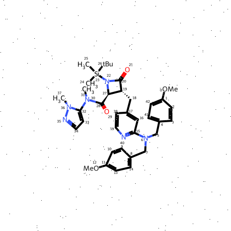 COc1ccc(CN(Cc2ccc(OC)cc2)c2cc(C[C@H]3C(=O)N([Si](C)(C)C(C)(C)C)[C@@H]3C(=O)N(C)c3ccnn3C)ccn2)cc1